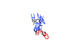 CC(Nc1ncnc(N)c1C#N)c1nc(OCC2CCOCC2)c2c(Br)ccn2n1